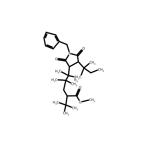 CCC(C)(C)C1C(=O)N(Cc2ccccc2)C(=O)C1C(C)(C)C(C)(C)CC(C(=O)OC)C(C)(C)C